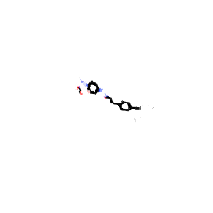 CN1C(=O)COc2cc(NC(=O)/C=C/c3ccc(C(C)(C)C)cc3)ccc21